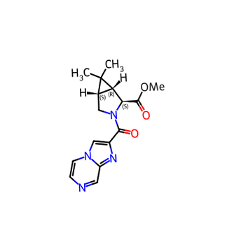 COC(=O)[C@@H]1[C@@H]2[C@H](CN1C(=O)c1cn3ccncc3n1)C2(C)C